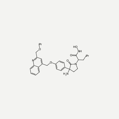 CC(C)CC(C(=O)NO)N1CCC(N)(c2ccc(OCc3cc(COC(C)C)nc4ccccc34)cc2)C1=O